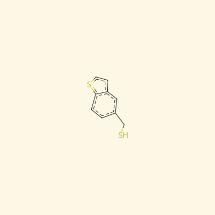 SCc1ccc2sccc2c1